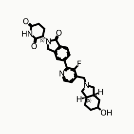 O=C1CC[C@H](N2Cc3cc(-c4nccc(CN5C[C@H]6CCC(O)C[C@H]6C5)c4F)ccc3C2=O)C(=O)N1